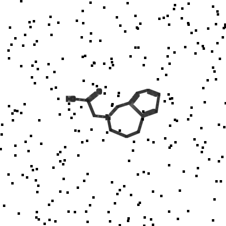 O=C(O)CN1CCCc2ccccc2C1